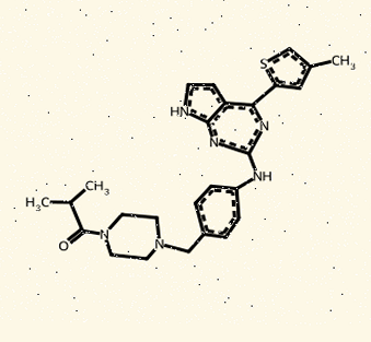 Cc1csc(-c2nc(Nc3ccc(CN4CCN(C(=O)C(C)C)CC4)cc3)nc3[nH]ccc23)c1